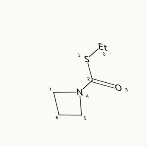 CCSC(=O)N1CCC1